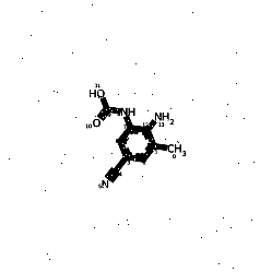 Cc1cc(C#N)cc(NC(=O)O)c1N